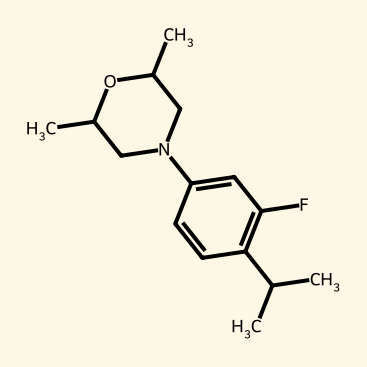 CC1CN(c2ccc(C(C)C)c(F)c2)CC(C)O1